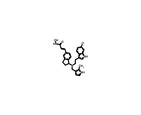 Cc1[nH]ccc1CN(CCc1c[nH]c2cc(Cl)ccc12)C1CCc2cc(C=CC(=O)NO)ccc21